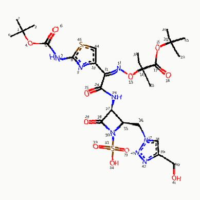 CC(C)(C)OC(=O)Nc1nc(/C(=N/OC(C)(C)C(=O)OC(C)(C)C)C(=O)N[C@@H]2C(=O)N(S(=O)(=O)O)[C@@H]2Cn2cc(CO)nn2)cs1